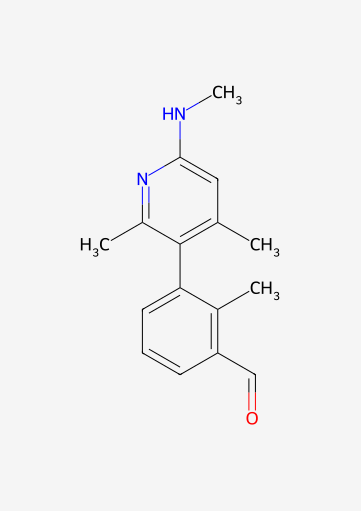 CNc1cc(C)c(-c2cccc(C=O)c2C)c(C)n1